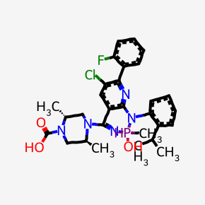 CC(C)c1ccccc1N1c2nc(-c3ccccc3F)c(Cl)cc2C(N2C[C@@H](C)N(C(=O)O)C[C@@H]2C)=N[PH]1(C)O